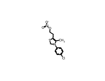 CC1=C(CCO[N+](=O)[O-])S[CH]N1c1ccc(Cl)cc1